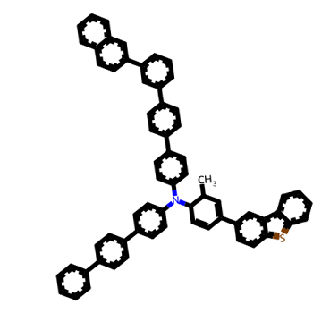 CC1C=C(c2ccc3sc4ccccc4c3c2)C=CC1N(c1ccc(-c2ccc(-c3ccccc3)cc2)cc1)c1ccc(-c2ccc(-c3cccc(-c4ccc5ccccc5c4)c3)cc2)cc1